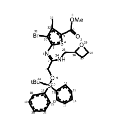 COC(=O)c1sc(/N=C(/CO[Si](c2ccccc2)(c2ccccc2)C(C)(C)C)NC[C@@H]2CCO2)c(Br)c1C